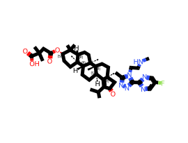 CNCCn1c(C[C@@]23CC[C@]4(C)[C@H](CC[C@@H]5[C@@]6(C)CC[C@H](OC(=O)CC(C)(C)C(=O)O)C(C)(C)[C@@H]6CC[C@]54C)C2=C(C(C)C)C(=O)C3)nnc1-c1ncc(F)cn1